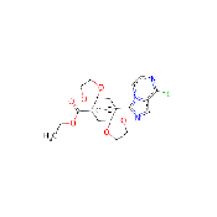 CCOC(=O)C12CCC(c3ncc4c(Cl)nccn34)(CC13OCCO3)C1(C2)OCCO1